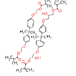 C=C(C)C(=O)OCC(O)COc1ccc(C(C)(C)c2ccc(OCC(O)COC(=O)C(=C)C)cc2)cc1.C=C(C)C(=O)OCCOc1ccc(C(C)(C)c2ccc(OCCOC(=O)C(=C)C)cc2)cc1